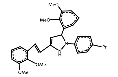 COc1cccc(C=CC2=CC(c3cccc(OC)c3OC)N(c3ccc(C(C)C)cc3)N2)c1OC